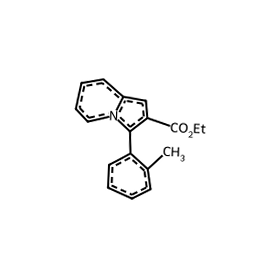 CCOC(=O)c1cc2ccccn2c1-c1ccccc1C